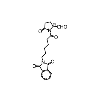 O=C[C@@H]1CCC(=O)N1C(=O)CCCCCN1C(=O)c2ccccc2C1=O